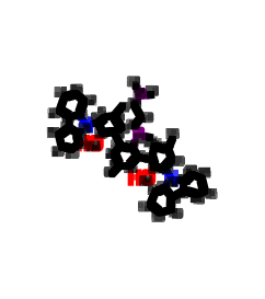 Cc1cc(-c2cc(C)cc(-n3c4ccccc4c4ccccc43)c2O)c(P(C)CCCP(C)C)c(-c2cc(C)cc(-n3c4ccccc4c4ccccc43)c2O)c1